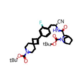 CC(C)(C)OC(=O)N1CCC2(C=C(c3ccc(C[C@@H](C#N)NC(=O)C4C5CCC(C5)N4C(=O)OC(C)(C)C)c(F)c3)C2)CC1